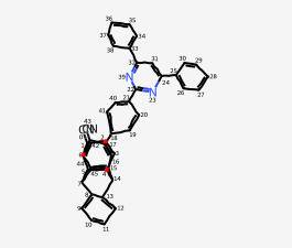 N#Cc1ccc2c(c1)C1c3ccccc3C2c2cc(-c3ccc(-c4nc(-c5ccccc5)cc(-c5ccccc5)n4)cc3)c(C#N)cc21